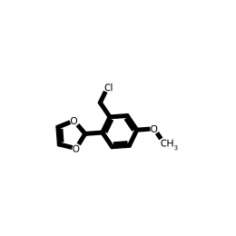 COc1ccc(C2OC=CO2)c(CCl)c1